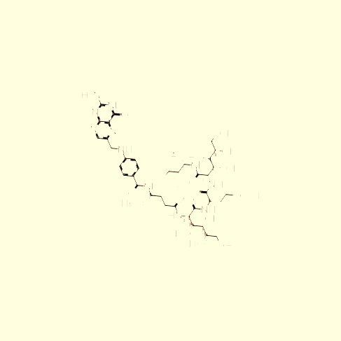 CC(=O)[C@H](CCC(=O)O)NC(=O)[C@H](NC(=O)[C@H](CCC(=O)O)NC(=O)[C@H](NC(=O)CC[C@H](NC(=O)c1ccc(NCc2cnc3nc(N)[nH]c(=O)c3n2)cc1)C(=O)O)[C@@H](O)[C@H](O)[C@H](O)CO)[C@@H](O)[C@H](O)[C@H](O)CO